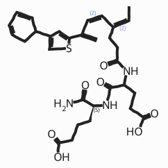 C=C(/C=C\C(=C/C)CCC(=O)NC(CCC(=O)O)C(=O)N[C@@H](CCCC(=O)O)C(N)=O)c1cc(C2C=CC=CC2)cs1